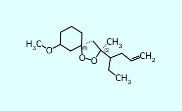 C=CCC(CC)[C@]1(C)C[C@]2(CCCC(OC)C2)OO1